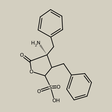 N[C@@]1(Cc2ccccc2)C(=O)OC(S(=O)(=O)O)C1Cc1ccccc1